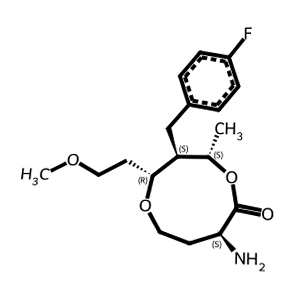 COCC[C@H]1OCC[C@H](N)C(=O)O[C@@H](C)[C@@H]1Cc1ccc(F)cc1